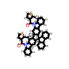 C=Cc1sccc1C(=O)n1c2ccccc2c2cc3c(cc21)-c1cc2c(cc1C31c3ccccc3-c3ccccc31)c1ccccc1n2C(=O)c1ccsc1C